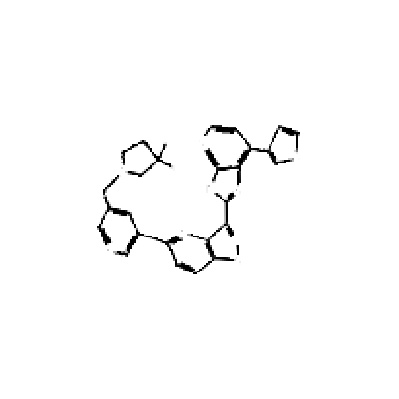 FC1(F)CCN(Cc2cncc(-c3ccc4[nH]nc(-c5nc6c(-c7ccoc7)ccnc6[nH]5)c4n3)c2)C1